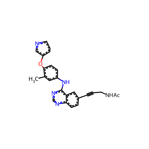 CC(=O)NCC#Cc1ccc2ncnc(Nc3ccc(Oc4cccnc4)c(C)c3)c2c1